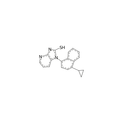 Sc1nc2ncccc2n1-c1ccc(C2CC2)c2ccccc12